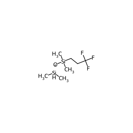 C[SiH](C)O[Si](C)(C)CCC(F)(F)F